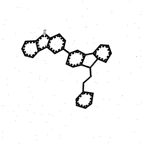 c1ccc(CCC2c3ccccc3-c3cc(-c4ccc5[nH]c6ccccc6c5c4)ccc32)cc1